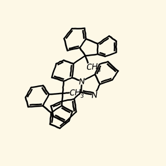 CC1(c2cccc(C3(C)c4ccccc4-c4ccccc43)c2-n2c(-c3ccccc3)nc3ccccc32)c2ccccc2-c2ccccc21